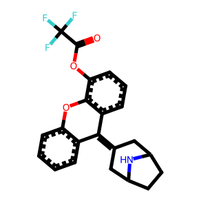 O=C(Oc1cccc2c1Oc1ccccc1C2=C1CC2CCC(C1)N2)C(F)(F)F